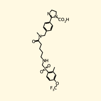 Cc1cc(OC(F)(F)F)ccc1S(=O)(=O)CNCCCCC(=O)N(C)Cc1ccc(C2=NCCN2C(=O)O)cc1